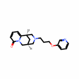 O=c1cccc2n1C[C@H]1C[C@@H]2CN(CCCOc2cccnc2)C1